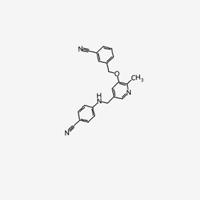 Cc1ncc(CNc2ccc(C#N)cc2)cc1OCc1cccc(C#N)c1